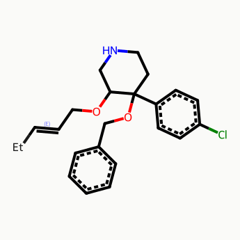 CC/C=C/COC1CNCCC1(OCc1ccccc1)c1ccc(Cl)cc1